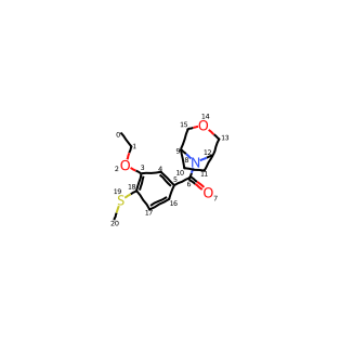 CCOc1cc(C(=O)N2C3CCC2COC3)ccc1SC